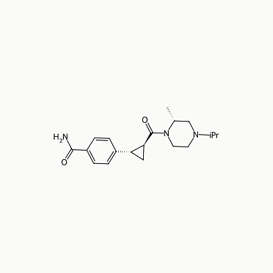 CC(C)N1CCN(C(=O)[C@H]2C[C@@H]2c2ccc(C(N)=O)cc2)[C@H](C)C1